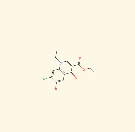 CCOC(=O)c1cn(CC)c2cc(Cl)c(Br)cc2c1=O